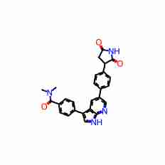 CN(C)C(=O)c1ccc(-c2c[nH]c3ncc(-c4ccc(C5CC(=O)NC5=O)cc4)cc23)cc1